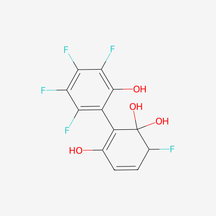 OC1=C(c2c(O)c(F)c(F)c(F)c2F)C(O)(O)C(F)C=C1